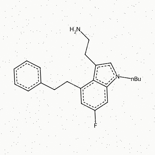 CCCCn1cc(CCN)c2c(CCc3ccccc3)cc(F)cc21